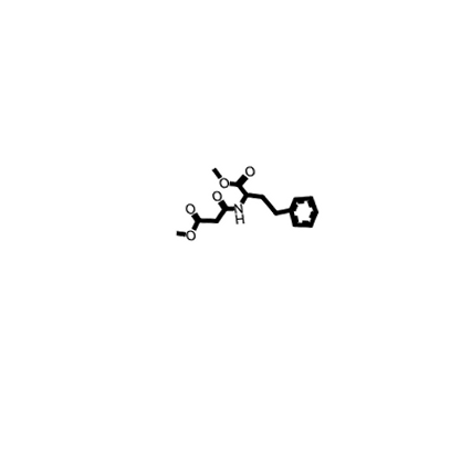 COC(=O)CC(=O)NC(CCc1ccccc1)C(=O)OC